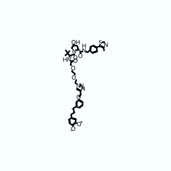 COc1ccc(CC[CH]c2cccc(OCc3cn(CCOCCOCC(=O)N[C@H](C(=O)N4C[C@H](O)C[C@H]4C(=O)NCc4ccc(-c5scnc5C)cc4)C(C)(C)C)nn3)c2)cc1OC